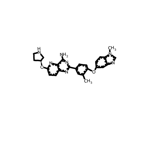 Cc1cc(-c2nc(N)c3nc(O[C@H]4CCNC4)ccc3n2)ccc1Oc1ccc2c(c1)ncn2C